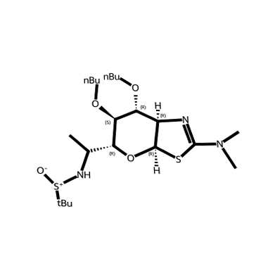 CCCCO[C@@H]1[C@H]2N=C(N(C)C)S[C@H]2O[C@H](C(C)N[S+]([O-])C(C)(C)C)[C@H]1OCCCC